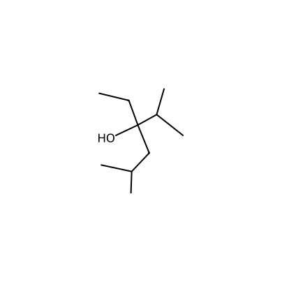 CCC(O)(CC(C)C)C(C)C